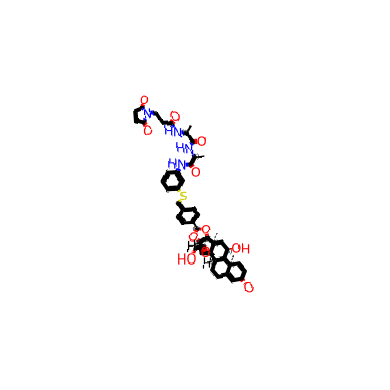 C[C@H](NC(=O)CCN1C(=O)C=CC1=O)C(=O)N[C@@H](C)C(=O)Nc1cccc(SCc2ccc([C@@H]3O[C@@H]4CC5[C@@H]6CCC7=CC(=O)C=C[C@]7(C)C6[C@@H](O)C[C@]5(C)[C@]4(C(=O)CO)O3)cc2)c1